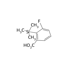 C[Si](C)(C)c1c(F)cccc1C(=O)O